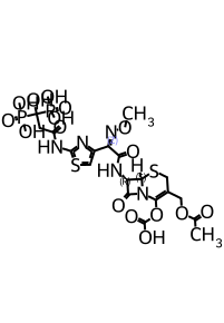 CO/N=C(\C(=O)N[C@@H]1C(=O)N2C(OC(=O)O)=C(COC(C)=O)CS[C@@H]12)c1csc(NC(=O)CC(O)(P(=O)(O)O)P(=O)(O)O)n1